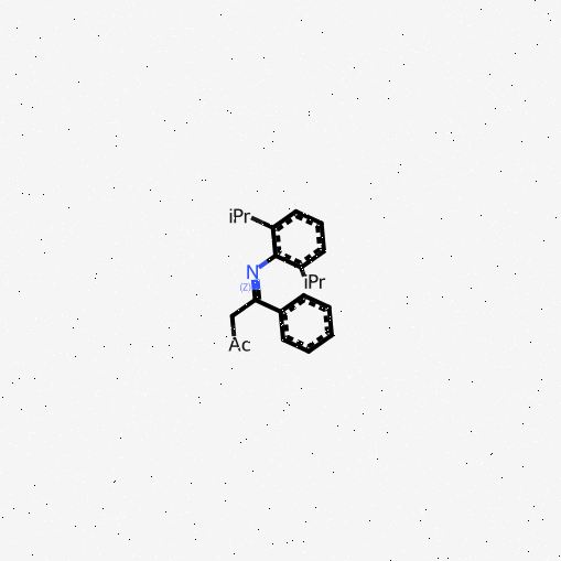 CC(=O)C/C(=N/c1c(C(C)C)cccc1C(C)C)c1ccccc1